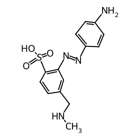 CNCc1ccc(S(=O)(=O)O)c(N=Nc2ccc(N)cc2)c1